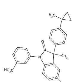 CC1(c2ccc(C3(C)C(=O)N(c4cccc(C(=O)O)c4)c4ccc(Cl)cc43)cc2)CC1